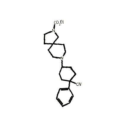 CCOC(=O)N1CCC2(CCN(C3CCC(C#N)(c4ccccc4)CC3)CC2)C1